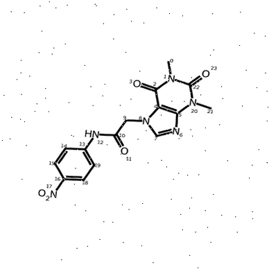 Cn1c(=O)c2c(ncn2CC(=O)Nc2ccc([N+](=O)[O-])cc2)n(C)c1=O